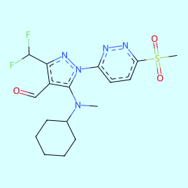 CN(c1c(C=O)c(C(F)F)nn1-c1ccc(S(C)(=O)=O)nn1)C1CCCCC1